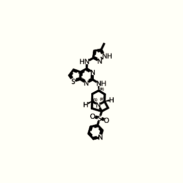 Cc1cc(Nc2nc(N[C@H]3C[C@@H]4CC5(S(=O)(=O)c6cccnc6)C[C@H](C3)N45)nc3sccc23)n[nH]1